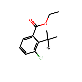 [2H]C(C)(C)c1c(Cl)cccc1C(=O)OCC